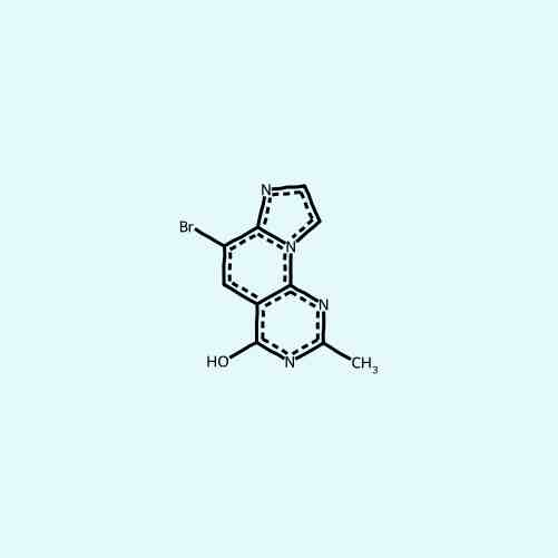 Cc1nc(O)c2cc(Br)c3nccn3c2n1